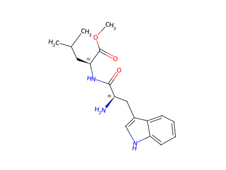 COC(=O)[C@H](CC(C)C)NC(=O)[C@H](N)Cc1c[nH]c2ccccc12